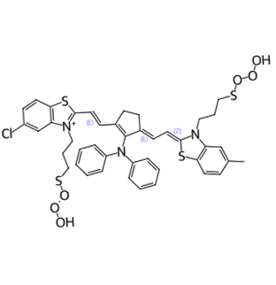 Cc1ccc2c(c1)N(CCCSOOO)/C(=C/C=C1\CCC(/C=C/c3sc4ccc(Cl)cc4[n+]3CCCSOOO)=C1N(c1ccccc1)c1ccccc1)S2